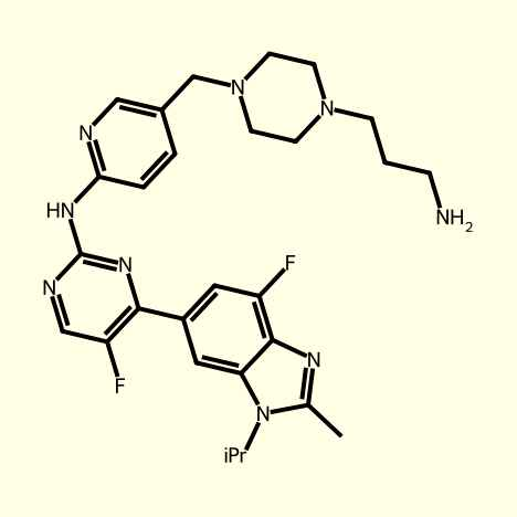 Cc1nc2c(F)cc(-c3nc(Nc4ccc(CN5CCN(CCCN)CC5)cn4)ncc3F)cc2n1C(C)C